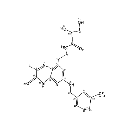 Cc1nc2c(CCNC(=O)C(O)CO)cc(NCc3cccc(C(F)(F)F)c3)cc2[nH]c1=O